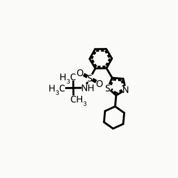 CC(C)(C)NS(=O)(=O)c1ccccc1-c1cnc(C2CCCCC2)s1